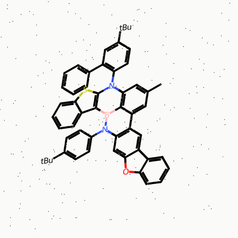 Cc1cc2c3c(c1)N(c1ccc(C(C)(C)C)cc1-c1ccccc1)c1sc4ccccc4c1B3N(c1ccc(C(C)(C)C)cc1)c1cc3oc4ccccc4c3cc1-2